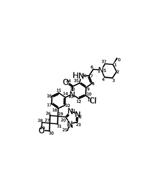 C[C@H]1CCCN(Cc2cc3c(Cl)cn(-c4cccc(C5(c6nncn6C)CC6(COC6)C5)c4)c(=O)c3[nH]2)C1